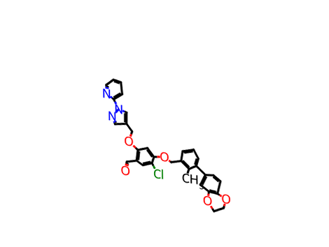 Cc1c(COc2cc(OCc3cnn(-c4ccccn4)c3)c(C=O)cc2Cl)cccc1-c1ccc2c(c1)OCCO2